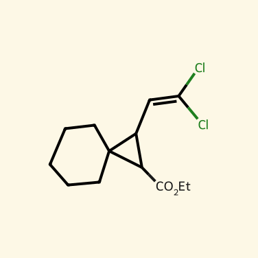 CCOC(=O)C1C(C=C(Cl)Cl)C12CCCCC2